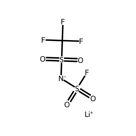 O=S(=O)(F)[N-]S(=O)(=O)C(F)(F)F.[Li+]